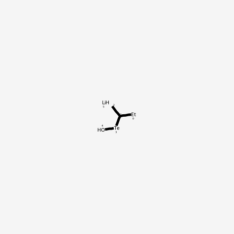 CCC(C)[Te]O.[LiH]